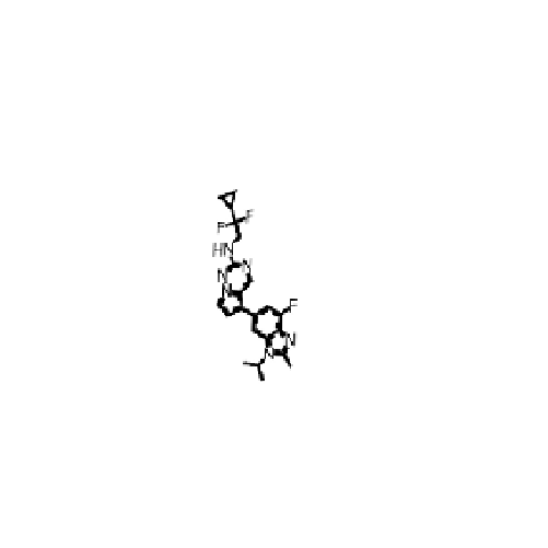 Cc1nc2c(F)cc(-c3ccn4nc(NCC(F)(F)C5CC5)ncc34)cc2n1C(C)C